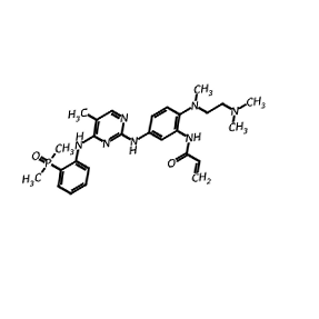 C=CC(=O)Nc1cc(Nc2ncc(C)c(Nc3ccccc3P(C)(C)=O)n2)ccc1N(C)CCN(C)C